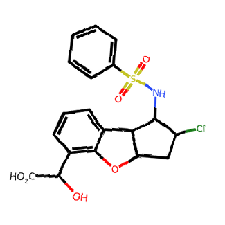 O=C(O)C(O)c1cccc2c1OC1CC(Cl)C(NS(=O)(=O)c3ccccc3)C21